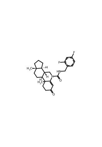 C[C@@]12CCC[C@H]1[C@@H]1CN(C(=O)NCc3ccc(F)cc3F)C3=CC(=O)CC[C@]3(C)[C@H]1CC2